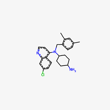 Cc1ccc(CN(c2ccnc3cc(Cl)ccc23)C2CCC(N)CC2)c(C)c1